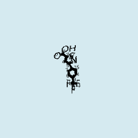 O=C(O)c1cc(-c2ccc(C(F)(F)F)cc2)ns1